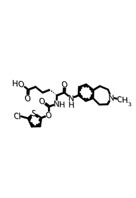 CN1CCc2ccc(NC(=O)[C@@H](CCCC(=O)O)NC(=O)Oc3ccc(Cl)s3)cc2CC1